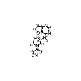 CN(c1ncnc2c1OCC2)[C@@H]1CCCN(C(=O)CC#N)C1